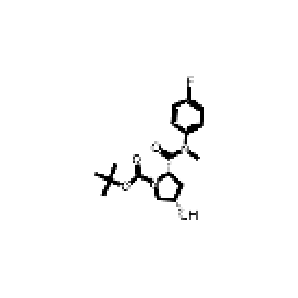 CN(C(=O)[C@@H]1C[C@H](O)CN1C(=O)OC(C)(C)C)c1ccc(F)cc1